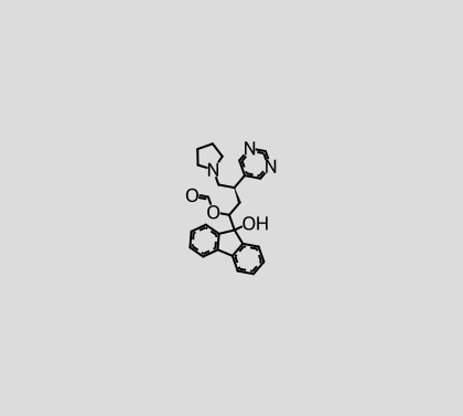 O=COC(C[C@@H](CN1CCCC1)c1cncnc1)C1(O)c2ccccc2-c2ccccc21